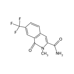 Cn1c(C(N)=O)cc2ccc(C(F)(F)F)cc2c1=O